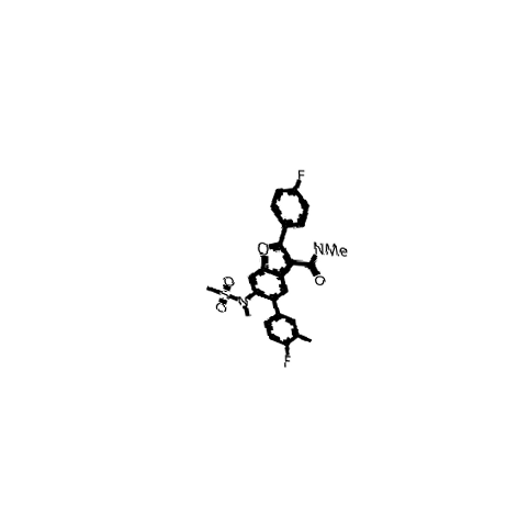 CNC(=O)c1c(-c2ccc(F)cc2)oc2cc(N(C)S(C)(=O)=O)c(-c3ccc(F)c(C)c3)cc12